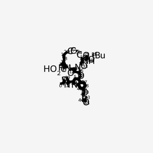 Cc1nc(-c2cc(OC3CC4C(=O)NC5(C(=O)O)CC5/C=C/CCCCCCC(NC(=O)OC(C)(C)C)C(=O)N4C3)c3ccc(OCP(C)(C)=O)cc3n2)cs1